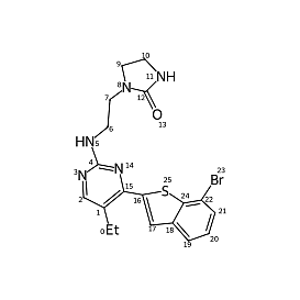 CCc1cnc(NCCN2CCNC2=O)nc1-c1cc2cccc(Br)c2s1